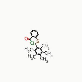 Cc1c(C)c(C)c(CSc2ccccc2C(=O)Cl)c(C)c1C